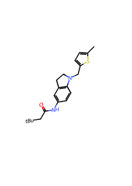 Cc1ccc(CN2CCc3cc(NC(=O)CC(C)(C)C)ccc32)s1